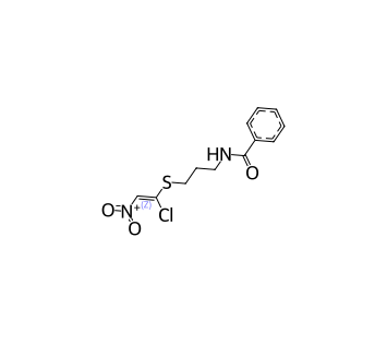 O=C(NCCCS/C(Cl)=C/[N+](=O)[O-])c1ccccc1